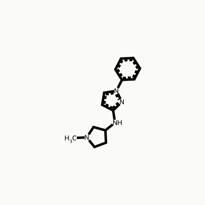 CN1CCC(Nc2ccn(-c3ccccc3)n2)C1